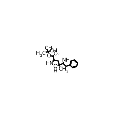 CC(C)(C)OC(=O)C(=N)CC(C)(O)C(N)Cc1ccccc1